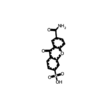 NC(=O)c1ccc2oc3cc(S(=O)(=O)O)ccc3c(=O)c2c1